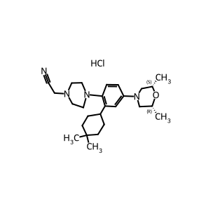 C[C@@H]1CN(c2ccc(N3CCN(CC#N)CC3)c(C3CCC(C)(C)CC3)c2)C[C@H](C)O1.Cl